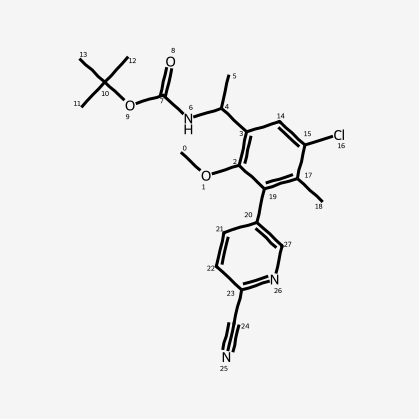 COc1c(C(C)NC(=O)OC(C)(C)C)cc(Cl)c(C)c1-c1ccc(C#N)nc1